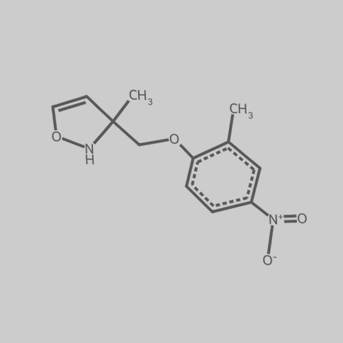 Cc1cc([N+](=O)[O-])ccc1OCC1(C)C=CON1